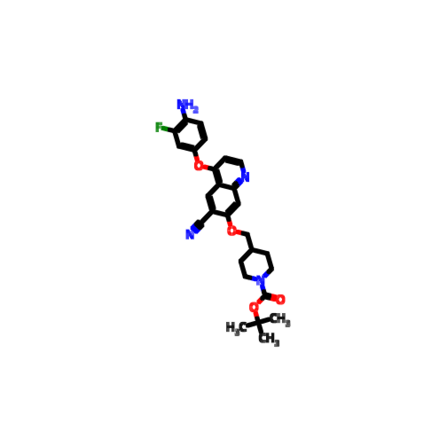 CC(C)(C)OC(=O)N1CCC(COc2cc3nccc(Oc4ccc(N)c(F)c4)c3cc2C#N)CC1